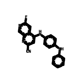 N#Cc1cc(Nc2ccc(Nc3ccccc3)cc2)c2cc(F)ncc2n1